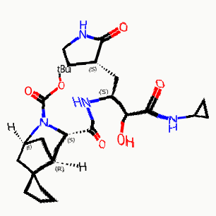 CC(C)(C)OC(=O)N1[C@H]2C[C@@H]([C@H]1C(=O)N[C@@H](C[C@@H]1CCNC1=O)C(O)C(=O)NC1CC1)C1(CC1)C2